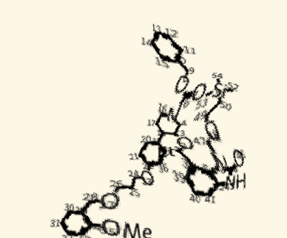 CCC(OC1CN(C(=O)OCc2ccccc2)CCC1c1ccc(OCCCOCc2ccccc2OC)cc1)c1cccc2[nH]c(=O)n(COCC[Si](C)(C)C)c12